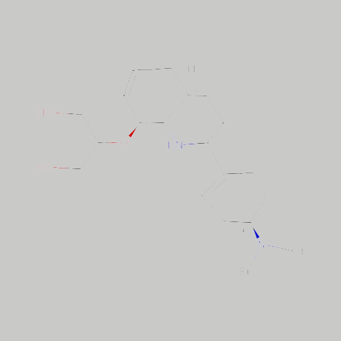 CCN(CC)[C@H]1CC=C(C2CC[C@@H]3CC=C[C@H](OC(CO)CO)C3N2)CC1